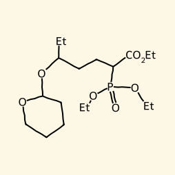 CCOC(=O)C(CCC(CC)OC1CCCCO1)P(=O)(OCC)OCC